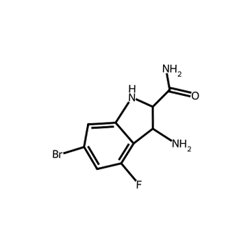 NC(=O)C1Nc2cc(Br)cc(F)c2C1N